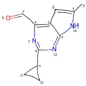 Cc1cc2c(C=O)nc(C3CC3)nc2[nH]1